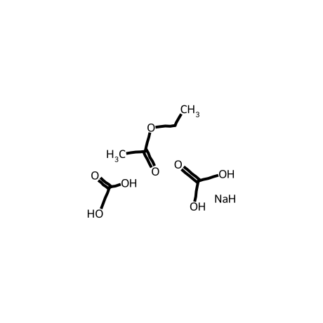 CCOC(C)=O.O=C(O)O.O=C(O)O.[NaH]